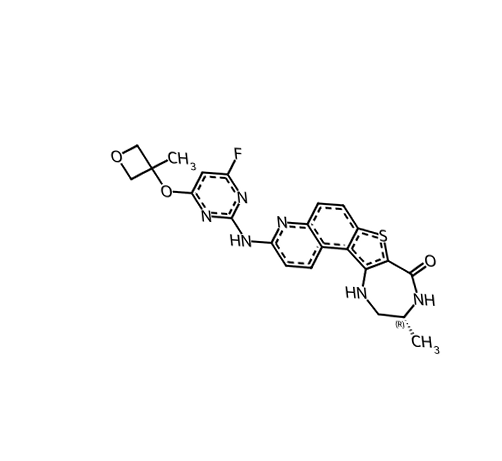 C[C@@H]1CNc2c(sc3ccc4nc(Nc5nc(F)cc(OC6(C)COC6)n5)ccc4c23)C(=O)N1